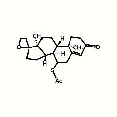 CC(=O)SC1CC2=CC(=O)CC[C@]2(C)[C@H]2CC[C@@]3(C)[C@@H](CC[C@@]34CCO4)[C@H]12